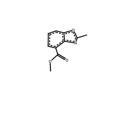 COC(=O)c1cccc2oc(C)nc12